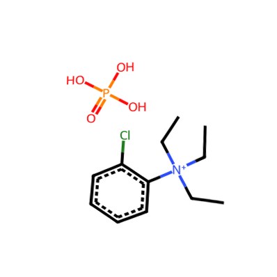 CC[N+](CC)(CC)c1ccccc1Cl.O=P(O)(O)O